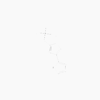 CC(C)(C)Sc1nc(-c2nnn[nH]2)cs1